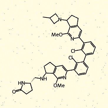 COc1nc(-c2cccc(-c3cccc(-c4cc5c(c(OC)n4)C(N4CC(C)C4)CC5)c3Cl)c2Cl)cc2c1C(NC[C@@H]1CCC(=O)N1)CC2